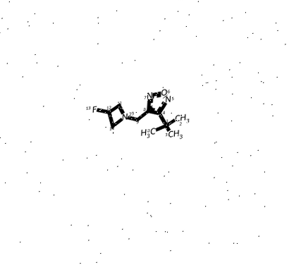 CC(C)(C)c1nonc1CN1CC(F)C1